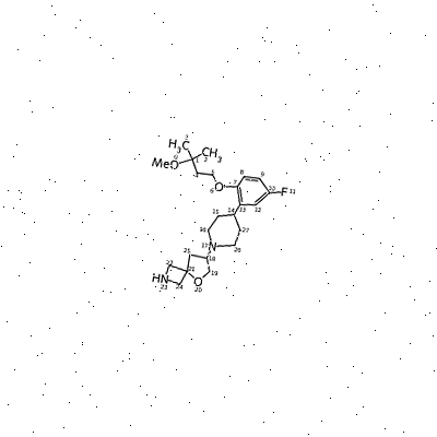 COC(C)(C)CCOc1ccc(F)cc1C1CCN(C2COC3(CNC3)C2)CC1